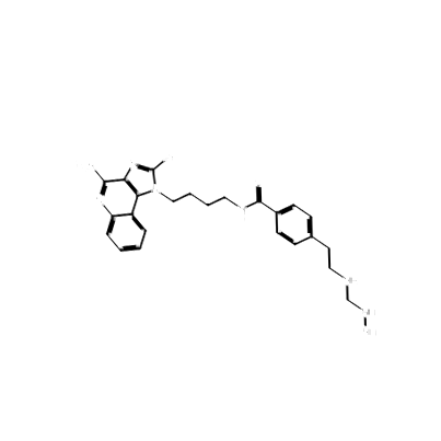 CCc1nc2c(N)nc3ccccc3c2n1CCCCNC(=O)c1ccc(CCNCNN)cc1